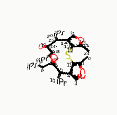 Cc1occ(C(C(=O)CC(C)C)C(C)C)c1Sc1c(C(C(=O)CC(C)C)C(C)C)coc1C